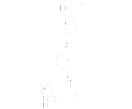 CC(CF)NC[C@H](Cc1nc[nH]c(=O)c1O)c1ccc(C#Cc2ccc(C(O)CO)cc2)cc1